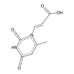 Cc1cc(=O)[nH]c(=O)n1C=CC(=O)O